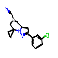 N#CB1Cc2cc(-c3cccc(Cl)c3)nn2C2(CC2)C1